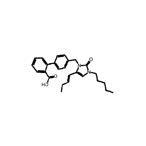 CC/C=C/c1cn(CCCCC)c(=O)n1Cc1ccc(-c2ccccc2C(=O)O)cc1